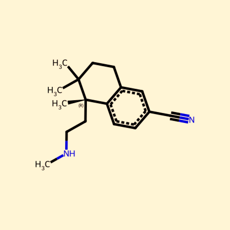 CNCC[C@@]1(C)c2ccc(C#N)cc2CCC1(C)C